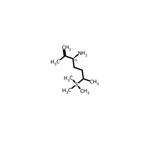 C=C(C)[C@@H](N)CCC(C)S(C)(C)C